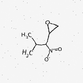 CC(C)C(C1CO1)[N+](=O)[O-]